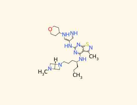 CCC[C@@H](CCCN1CC2[C@@H]1CN2C)Nc1nc(N/C(C=N)=C/NC2CCOCC2)nc2snc(C)c12